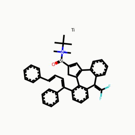 CC(C)(C)[N+](C)(C)[Si](=O)C1=CC2=C(C1)c1c(C(=CC=Cc3ccccc3)c3ccccc3)cccc1C(=C(F)F)c1ccccc12.[Ti]